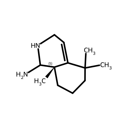 CC1(C)CCC[C@@]2(C)C1=CCNC2N